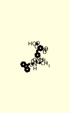 CC(C)C[C@H](NC(=O)OCC1c2ccccc2-c2ccccc21)C(=O)Nc1ccc(Cc2cc([N+](=O)[O-])ccc2OC(=O)O)cc1